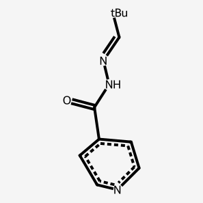 CC(C)(C)C=NNC(=O)c1ccncc1